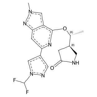 C[C@@H](Oc1nc(-c2cnn(C(F)F)c2)cc2nn(C)cc12)[C@H]1CNC(=O)C1